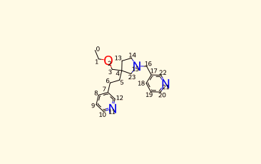 CCOCC1(CCc2cccnc2)CCN(Cc2cccnc2)C1